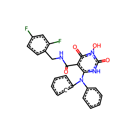 O=C(NCc1ccc(F)cc1F)c1c(N(c2ccccc2)c2ccccc2)[nH]c(=O)n(O)c1=O